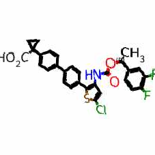 C[C@@H](OC(=O)Nc1cc(Cl)sc1-c1ccc(-c2ccc(C3(C(=O)O)CC3)cc2)cc1)c1ccc(F)c(F)c1